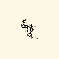 Cc1ccc(-c2nccc3[nH]c(-c4n[nH]c5ccc(-c6cncc(N)c6)cc45)cc23)s1